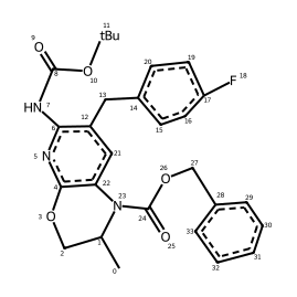 CC1COc2nc(NC(=O)OC(C)(C)C)c(Cc3ccc(F)cc3)cc2N1C(=O)OCc1ccccc1